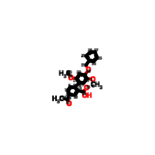 COc1cc(-c2ccc(C(C)=O)cc2C(=O)O)c(OC)cc1OCc1ccccc1